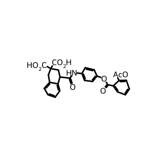 CC(=O)Oc1ccccc1C(=O)Oc1ccc(NC(=O)C2CC(C(=O)O)(C(=O)O)Cc3ccccc32)cc1